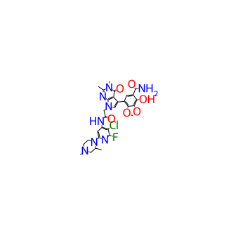 Cc1nc2c(c(-c3cc(C(N)=O)c(O)c4c3OCO4)cn2CC(=O)Nc2cc(N3CCN(C)CC3C)nc(F)c2Cl)c(=O)n1C